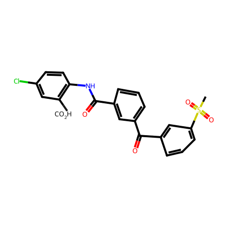 CS(=O)(=O)c1cccc(C(=O)c2cccc(C(=O)Nc3ccc(Cl)cc3C(=O)O)c2)c1